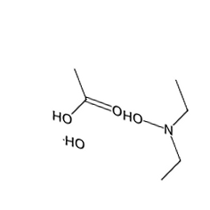 CC(=O)O.CCN(O)CC.[OH]